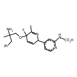 CC1=NC(c2ccnc(NC(=O)O)c2)C=CC1(F)OCC(C)(N)CC(C)C